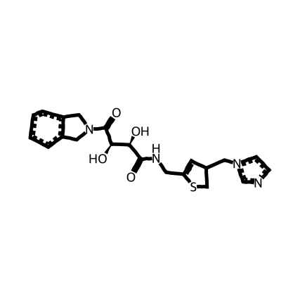 O=C(NCC1=CC(Cn2ccnc2)CS1)[C@H](O)[C@@H](O)C(=O)N1Cc2ccccc2C1